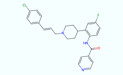 O=C(Nc1ccc(F)cc1C1CCN(C/C=C/c2ccc(Cl)cc2)CC1)c1ccncc1